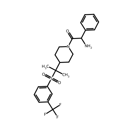 CC(C)(C1CCN(C(=O)C(N)c2ccccc2)CC1)S(=O)(=O)c1cccc(C(F)(F)F)c1